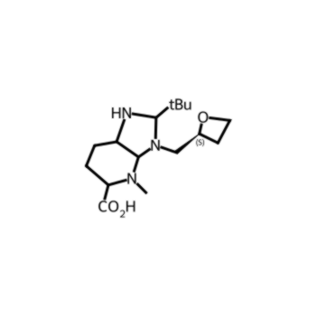 CN1C(C(=O)O)CCC2NC(C(C)(C)C)N(C[C@@H]3CCO3)C21